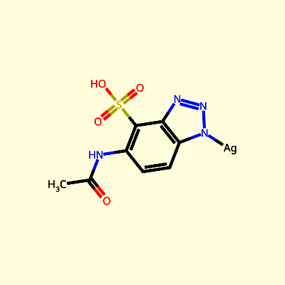 CC(=O)Nc1ccc2c(nn[n]2[Ag])c1S(=O)(=O)O